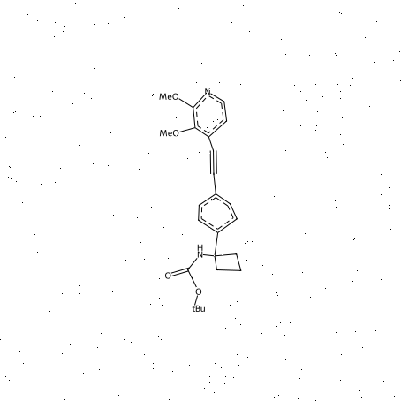 COc1nccc(C#Cc2ccc(C3(NC(=O)OC(C)(C)C)CCC3)cc2)c1OC